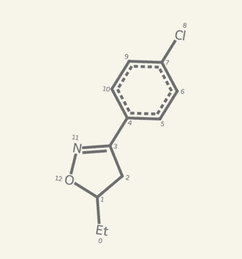 CCC1CC(c2ccc(Cl)cc2)=NO1